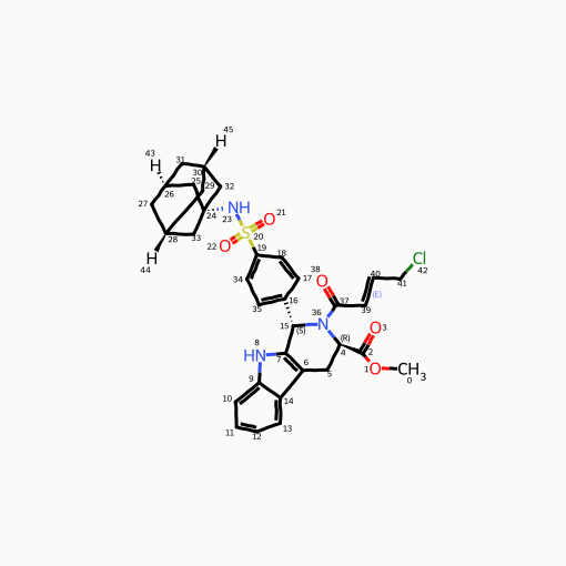 COC(=O)[C@H]1Cc2c([nH]c3ccccc23)[C@H](c2ccc(S(=O)(=O)N[C@]34C[C@H]5C[C@H](C[C@H](C5)C3)C4)cc2)N1C(=O)/C=C/CCl